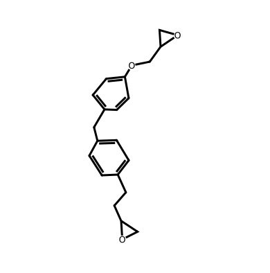 c1cc(Cc2ccc(OCC3CO3)cc2)ccc1CCC1CO1